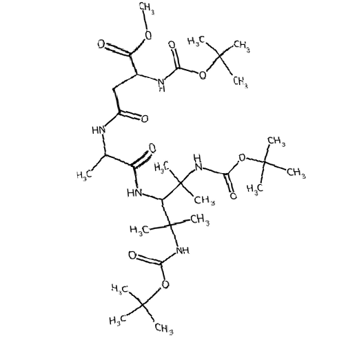 COC(=O)C(CC(=O)NC(C)C(=O)NC(C(C)(C)NC(=O)OC(C)(C)C)C(C)(C)NC(=O)OC(C)(C)C)NC(=O)OC(C)(C)C